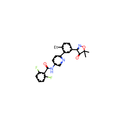 CCc1ccc(C2=NOC(C)(C)C2=O)cc1-c1ccc(NC(=O)c2c(F)cccc2F)cn1